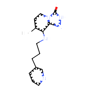 Cc1ccn2c(=O)[nH]nc2c1NCCCc1cccnc1